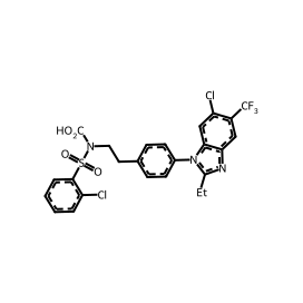 CCc1nc2cc(C(F)(F)F)c(Cl)cc2n1-c1ccc(CCN(C(=O)O)S(=O)(=O)c2ccccc2Cl)cc1